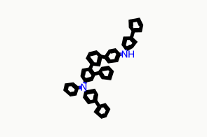 c1ccc(-c2ccc(Nc3ccc(-c4cccc(-c5ccc(N(c6ccccc6)c6ccc(-c7ccccc7)cc6)cc5-c5ccccc5)c4)cc3)cc2)cc1